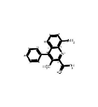 Cc1c(C(=O)O)nc2c(N)cccc2c1-c1ccccc1